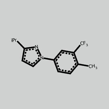 Cc1ccc(-n2ccc(C(C)C)n2)cc1C(F)(F)F